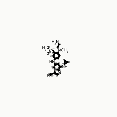 CN(CCN)c1ccc(Nc2cc(NC3CC3)c3ncc(C#N)n3n2)cc1C[S+](C)[O-]